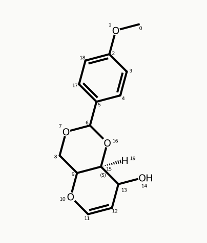 COc1ccc(C2OCC3OC=CC(O)[C@@H]3O2)cc1